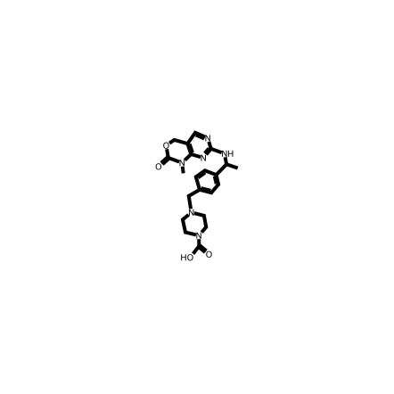 CC(Nc1ncc2c(n1)N(C)C(=O)OC2)c1ccc(CN2CCN(C(=O)O)CC2)cc1